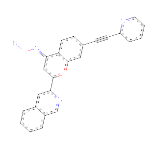 NON=c1cc(-c2cc3ccccc3cn2)oc2cc(C#Cc3ccccn3)ccc12